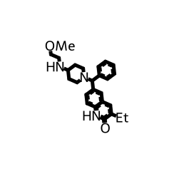 CCc1cc2cc(C(c3ccccc3)N3CCC(NCCOC)CC3)ccc2[nH]c1=O